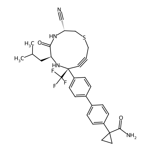 CC(C)C[C@@H]1N[C@](c2ccc(-c3ccc(C4(C(N)=O)CC4)cc3)cc2)(C(F)(F)F)C#CCSC[C@@H](C#N)NC1=O